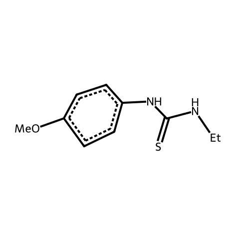 CCNC(=S)Nc1ccc(OC)cc1